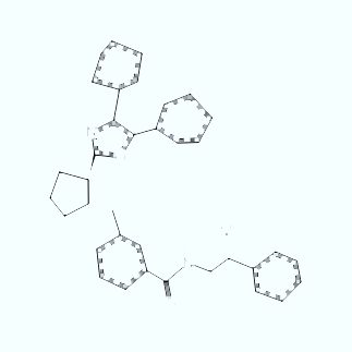 O=C(NC[C@H](O)c1ccccc1)c1cccc(C[C@@H]2CCC[C@H]2c2nc(-c3ccccc3)c(-c3ccccc3)o2)c1